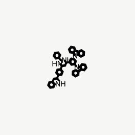 C1=C(c2ccc(C3=CC(c4cc(-n5c6ccccc6c6ccccc65)cc(-n5c6ccccc6c6ccccc65)c4)NC(c4ccccc4)N3)cc2)CNc2ccccc21